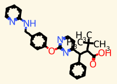 CC(C)(C)C(C(=O)O)C(c1ccccc1)c1ccnc(Oc2ccc(CNc3ccccn3)cc2)n1